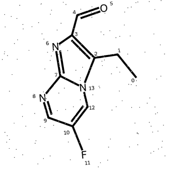 CCc1c(C=O)nc2ncc(F)cn12